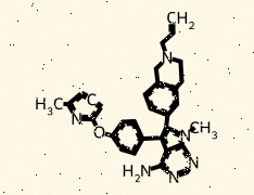 C=CCN1CCc2cc(-c3c(-c4ccc(Oc5cccc(C)n5)cc4)c4c(N)ncnc4n3C)ccc2C1